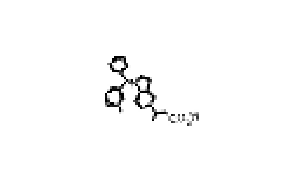 CC(=CC(=O)O)c1ccc2c(ccn2C(c2ccccc2)c2cccc(C)c2)c1